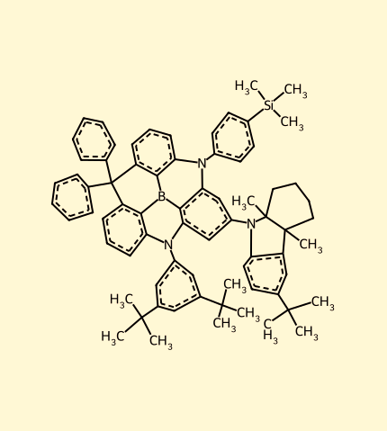 CC(C)(C)c1cc(N2c3cc(N4c5ccc(C(C)(C)C)cc5C5(C)CCCCC45C)cc4c3B3c5c(cccc5C(c5ccccc5)(c5ccccc5)c5cccc2c53)N4c2ccc([Si](C)(C)C)cc2)cc(C(C)(C)C)c1